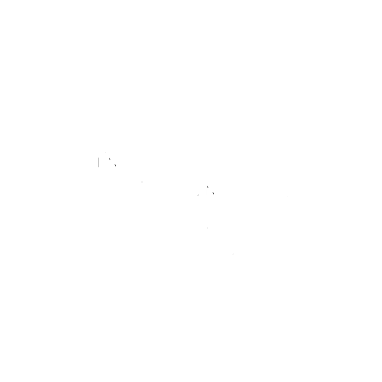 CC1=CC=CCN1CCN